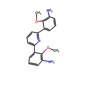 COc1c(N)cccc1-c1cccc(-c2cccc(N)c2OC)n1